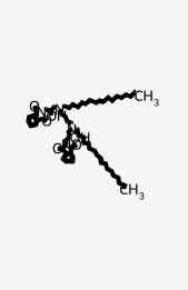 CCCCCCCC/C=C/CCCCCCCCN(CCCCN(CCCCCCCC/C=C/CCCCCCCC)CC(O)CN1C(=O)c2ccccc2C1=O)CC(O)CN1C(=O)c2ccccc2C1=O